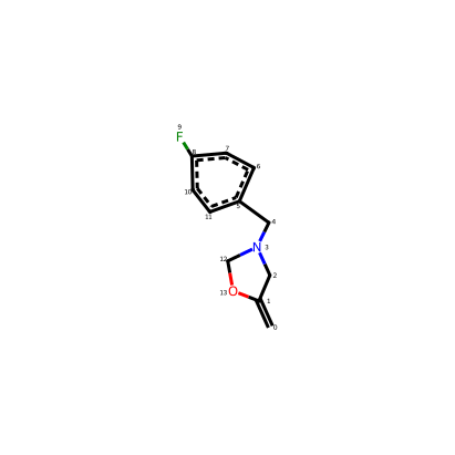 C=C1CN(Cc2ccc(F)cc2)CO1